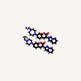 CCN1CCN(c2ccc3cc(-c4cc5ccccn5n4)c(=O)oc3c2)CC1.CN1CCCN(c2ccc3cc(-c4cc5ccccn5n4)c(=O)oc3c2)CC1